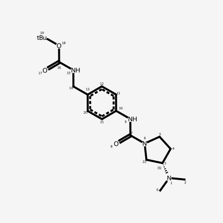 CN(C)[C@H]1CCN(C(=O)Nc2ccc(CNC(=O)OC(C)(C)C)cc2)C1